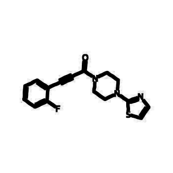 O=C(C#Cc1ccccc1F)N1CCN(c2nccs2)CC1